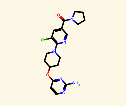 Nc1nccc(OC2CCN(c3ncc(C(=O)N4CCCC4)cc3Cl)CC2)n1